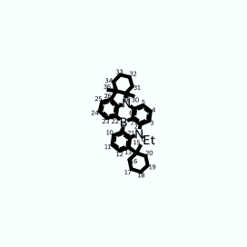 CCN1c2cccc3c2B(c2cccc(C4(C)CCCCC4)c21)c1cccc2c1N3C1(C)CCCCC21C